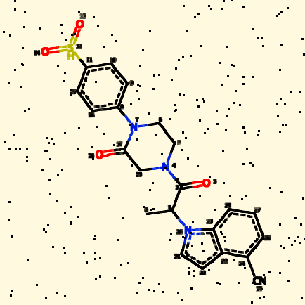 CC(C(=O)N1CCN(c2ccc([SH](=O)=O)cc2)C(=O)C1)n1ccc2c(C#N)cccc21